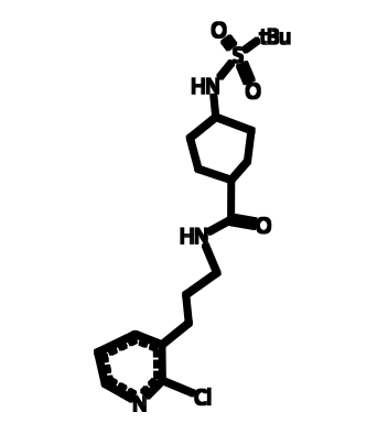 CC(C)(C)S(=O)(=O)NC1CCC(C(=O)NCCCc2cccnc2Cl)CC1